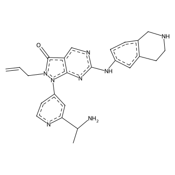 C=CCn1c(=O)c2cnc(Nc3ccc4c(c3)CCNC4)nc2n1-c1ccnc(C(C)N)c1